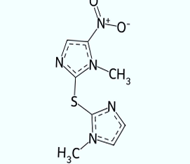 Cn1ccnc1Sc1ncc([N+](=O)[O-])n1C